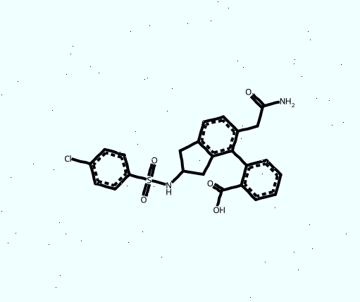 NC(=O)Cc1ccc2c(c1-c1ccccc1C(=O)O)CC(NS(=O)(=O)c1ccc(Cl)cc1)C2